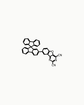 N#Cc1nc(C#N)c2oc3ccc(-c4ccc5c(c4)C4(c6ccccc6-c6ccccc64)c4ccccc4-5)cc3c2n1